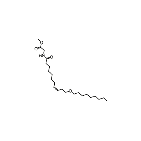 CCCCCCCCCOCC/C=C\CCCCCCC(=O)NCC(=O)OC